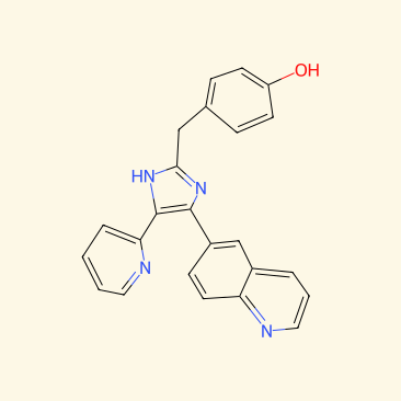 Oc1ccc(Cc2nc(-c3ccc4ncccc4c3)c(-c3ccccn3)[nH]2)cc1